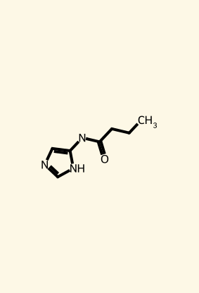 CCCC(=O)[N]c1cnc[nH]1